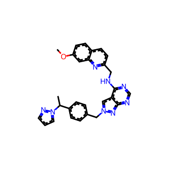 COc1ccc2ccc(CNc3ncnc4nn(Cc5ccc(C(C)n6cccn6)cc5)cc34)nc2c1